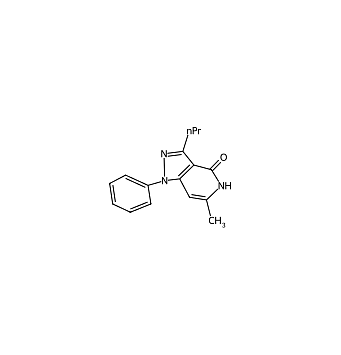 CCCc1nn(-c2ccccc2)c2cc(C)[nH]c(=O)c12